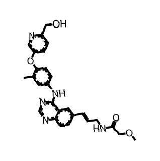 COCC(=O)NCC=Cc1ccc2ncnc(Nc3ccc(Oc4ccc(CO)nc4)c(C)c3)c2c1